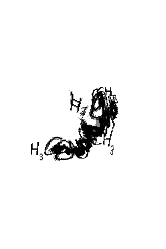 CCOC(=O)c1coc(N2CCC([C@H](C)Oc3cnc(N4C[C@H](NC(=O)OC(C)(C)C)[C@@H](c5cc(F)ccc5F)C4)nc3)CC2)n1